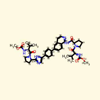 COC(=O)NC(C(=O)N1CCCC1C(=O)Nc1nccc2cc(-c3ccc(-c4cnc(C5CCCN5C(=O)[C@@H](NC(=O)OC)C(C)C)[nH]4)cc3)ccc12)C(C)C